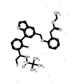 CCOC(=O)Cc1ccccc1OCc1cc(-c2cccc(C(CF)N[S@+]([O-])C(C)(C)C)c2F)c2occc2c1